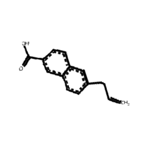 C=CCc1ccc2cc(C(=O)O)ccc2c1